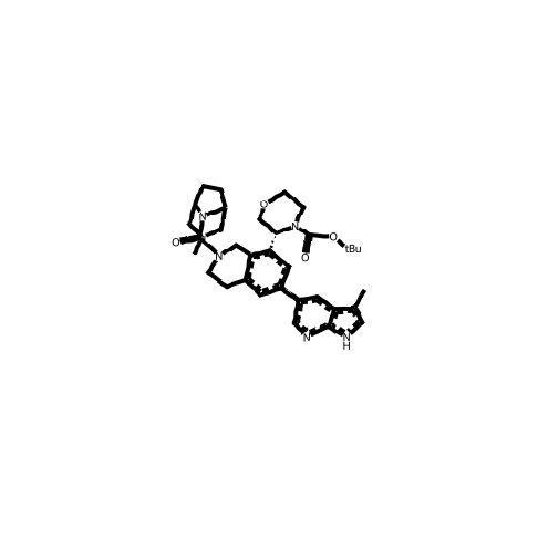 Cc1c[nH]c2ncc(-c3cc4c(c([C@@H]5COCCN5C(=O)OC(C)(C)C)c3)CN(C(=O)N3C5CCC3CN(C)C5)CC4)cc12